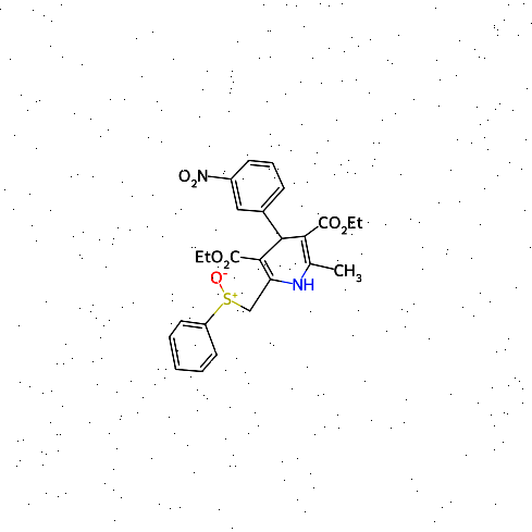 CCOC(=O)C1=C(C)NC(C[S+]([O-])c2ccccc2)=C(C(=O)OCC)C1c1cccc([N+](=O)[O-])c1